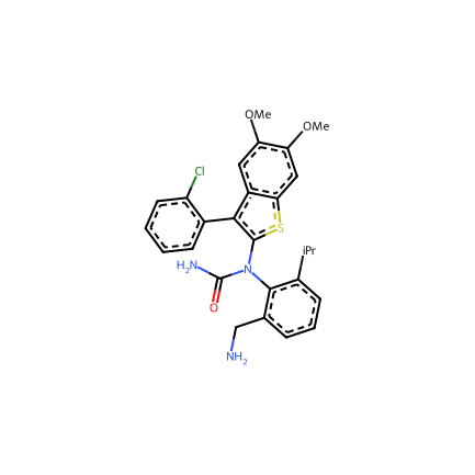 COc1cc2sc(N(C(N)=O)c3c(CN)cccc3C(C)C)c(-c3ccccc3Cl)c2cc1OC